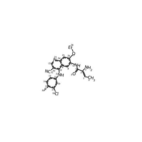 CC=C(N)C(=O)Nc1cc2c(Nc3ccc(F)c(Cl)c3)c(C#N)cnc2cc1OCC